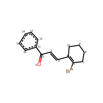 O=C(/C=C/C1=C(Br)CCCC1)c1ccccc1